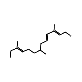 CCC(C)=CCCC(C)CC=CC(C)=CCF